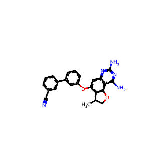 CC1COc2c1c(Oc1cccc(-c3cccc(C#N)c3)c1)cc1nc(N)nc(N)c21